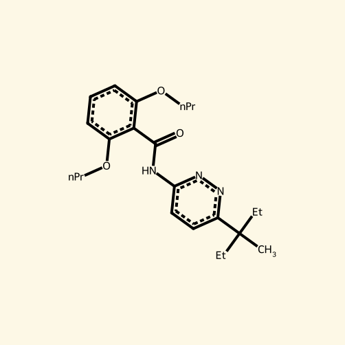 CCCOc1cccc(OCCC)c1C(=O)Nc1ccc(C(C)(CC)CC)nn1